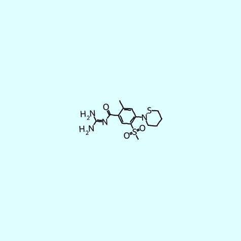 Cc1cc(N2CCCCS2)c(S(C)(=O)=O)cc1C(=O)N=C(N)N